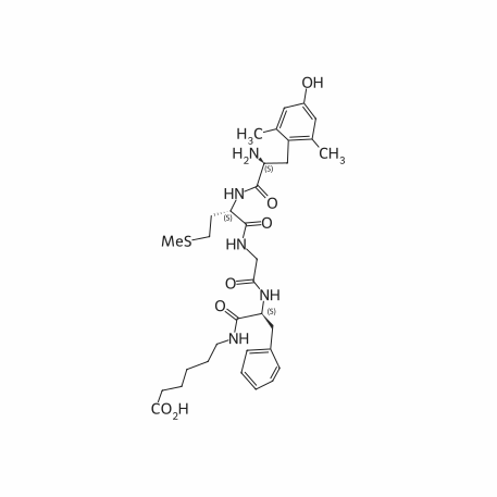 CSCC[C@H](NC(=O)[C@@H](N)Cc1c(C)cc(O)cc1C)C(=O)NCC(=O)N[C@@H](Cc1ccccc1)C(=O)NCCCCCC(=O)O